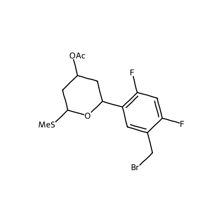 CSC1CC(OC(C)=O)CC(c2cc(CBr)c(F)cc2F)O1